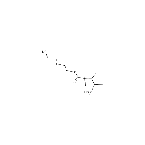 CC(C(=O)O)C(C)C(C)(C)C(=O)OCCOCCC#N